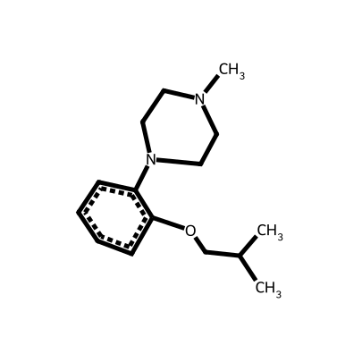 CC(C)COc1ccccc1N1CCN(C)CC1